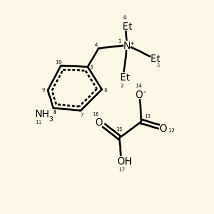 CC[N+](CC)(CC)Cc1ccccc1.N.O=C([O-])C(=O)O